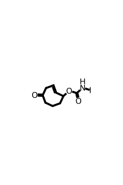 O=C1C/C=C/C(OC(=O)NI)CCC1